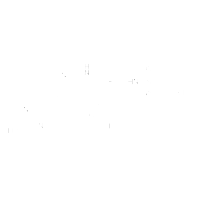 CCCS(=O)(=O)Nc1ccc(F)c(C(=O)c2c[nH]c3ncc(-c4cnc(C)nc4)cc23)c1F